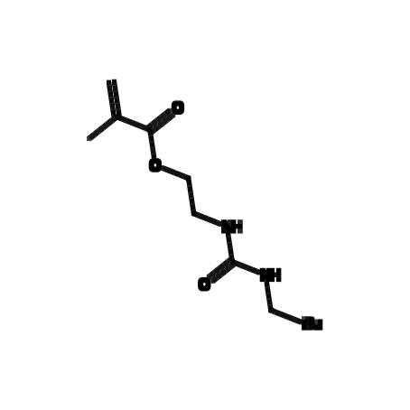 C=C(C)C(=O)OCCNC(=O)NCC(C)CC